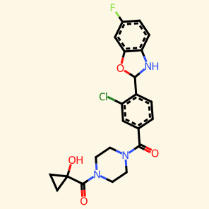 O=C(c1ccc(C2Nc3ccc(F)cc3O2)c(Cl)c1)N1CCN(C(=O)C2(O)CC2)CC1